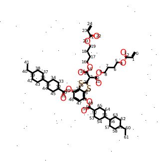 C=CC(=O)OCCCCOC(=O)C(C(=O)OCCCCOC(=O)C=C)C1Sc2c(OC(=O)C3CCC(C4CCC(CC)CC4)CC3)ccc(OC(=O)C3CCC(C4CCC(CC)CC4)CC3)c2S1